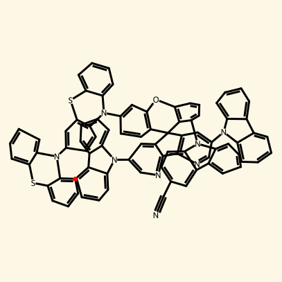 N#Cc1ccc2c(c1)c1ccccc1n2-c1cccc2c1C1(c3ccc(N4c5ccccc5Sc5cc(N6c7ccccc7Sc7ccccc76)ccc54)cc3O2)c2cc(-n3c4ccccc4c4ccccc43)cnc2-c2ncc(-n3c4ccccc4c4ccccc43)cc21